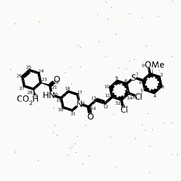 COc1ccccc1Sc1ccc(C=CC(=O)N2CCC(NC(=O)[C@@H]3CC=CC[C@@H]3C(=O)O)CC2)c(Cl)c1Cl